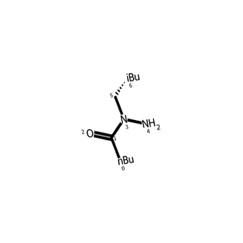 CCCCC(=O)N(N)C[C@@H](C)CC